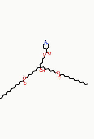 CCCCCCCCCCCC(=O)OCCCCCCC(O)(CCCCCCOC(=O)CCCCCCCCCCC)CCCCOC(=O)C1CCN(C)CC1